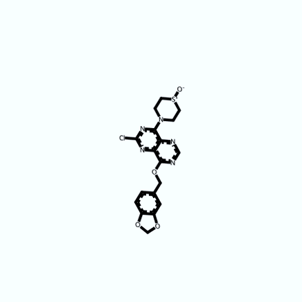 [O-][S+]1CCN(c2nc(Cl)nc3c(OCc4ccc5c(c4)OCO5)ncnc23)CC1